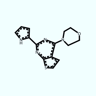 c1c[nH]c(-c2nc(N3CCOCC3)c3ccsc3n2)c1